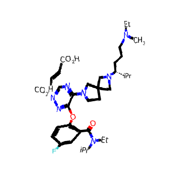 CCN(C)CCC[C@H](C(C)C)N1CC2(CCN(c3ncnnc3Oc3ccc(F)cc3C(=O)N(CC)C(C)C)C2)C1.O=C(O)/C=C/C(=O)O